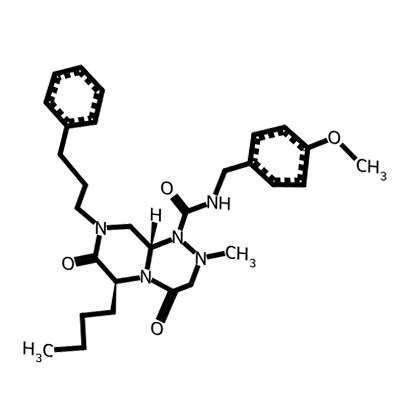 CCCC[C@H]1C(=O)N(CCCc2ccccc2)C[C@H]2N1C(=O)CN(C)N2C(=O)NCc1ccc(OC)cc1